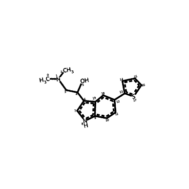 CN(C)CC(O)c1c[nH]c2ccc(-c3cccs3)cc12